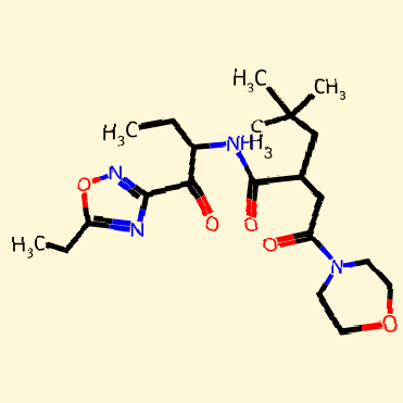 CCc1nc(C(=O)C(CC)NC(=O)C(CC(=O)N2CCOCC2)CC(C)(C)C)no1